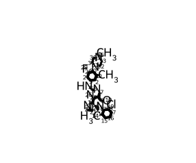 Cc1cc(Nc2ncc3c(=O)n(-c4c(C)cccc4Cl)n4ccnc4c3n2)cc(F)c1N1CCN(C)CC1